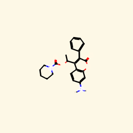 CCN(CC)c1ccc2c(C(C)OC(=O)N3CCCCC3)c(-c3ccccc3)c(=O)oc2c1